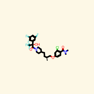 C[C@@H](CCC1CCN(C(=O)[C@@](O)(c2cc(F)cc(F)c2)C(F)(F)F)CC1)COc1ccc(C(=O)N(C)C)c(Cl)c1